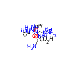 CCC[C@H](N)C(=O)N[C@@H](Cc1c[nH]c2ccccc12)C(=O)N[C@@H](CCCNC(=N)N)C(=O)N[C@@H](CCCCN)C(=O)O